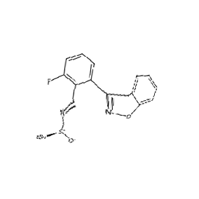 CC(C)(C)[S@+]([O-])/N=C/c1c(F)cccc1-c1noc2ccccc12